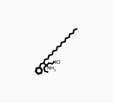 CCCCCCCCCCCCCCCCC(Cc1ccccc1)C(N)(CCC)CCC.Cl